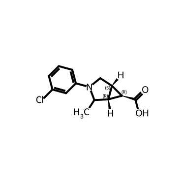 CC1[C@@H]2[C@H](CN1c1cccc(Cl)c1)[C@H]2C(=O)O